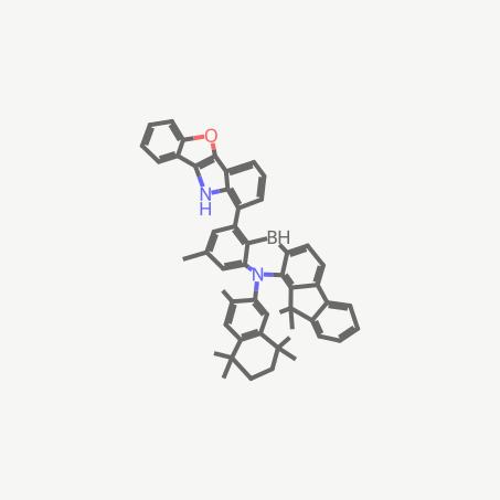 Cc1cc(-c2cccc3c2[nH]c2c4ccccc4oc32)c2c(c1)N(c1cc3c(cc1C)C(C)(C)CCC3(C)C)c1c(ccc3c1C(C)(C)c1ccccc1-3)B2